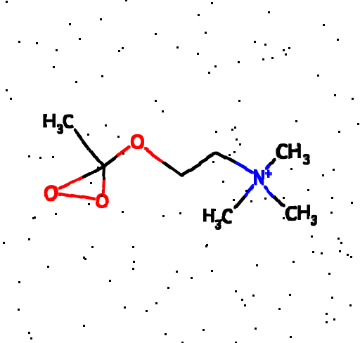 CC1(OCC[N+](C)(C)C)OO1